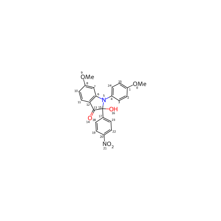 COc1ccc(N2c3cc(OC)ccc3C(=O)C2(O)c2ccc([N+](=O)[O-])cc2)cc1